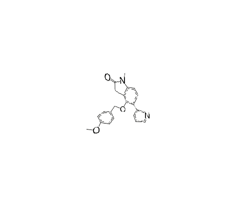 COc1ccc(COc2c(-c3cccnc3)ccc3c2CC(=O)N3C)cc1